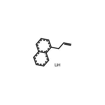 C=CCc1cccc2ccccc12.[LiH]